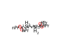 CCCOC(=CC[SiH2]CC=CC[SiH2]CC=C(OCCC)OCCC)OCCC